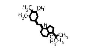 C=C1[C@H](C)C/C(=C/C=C2\CCC[C@]3(C)C(=C(C)C)CC[C@@H]23)C[C@H]1O